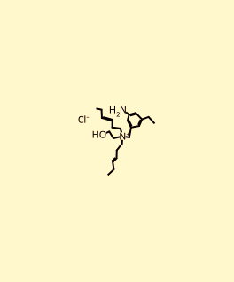 CCC=CCC[N+](CCO)(CCC=CCC)Cc1cc(N)cc(CC)c1.[Cl-]